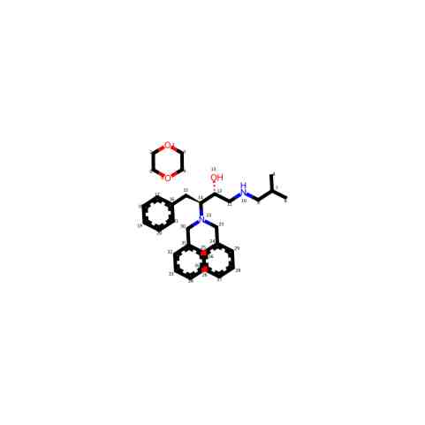 C1COCCO1.CC(C)CNC[C@@H](O)[C@H](Cc1ccccc1)N(Cc1ccccc1)Cc1ccccc1